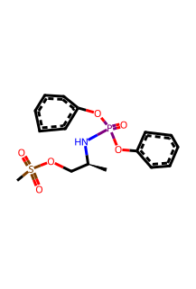 C[C@@H](COS(C)(=O)=O)NP(=O)(Oc1ccccc1)Oc1ccccc1